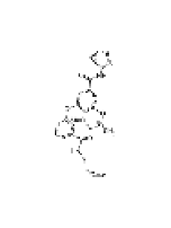 COCCNC(=O)c1cccc(Oc2cc(O[C@@H](C)COC)cc(C(=O)Nc3nccs3)c2)c1